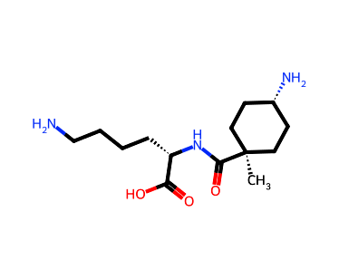 C[C@]1(C(=O)N[C@@H](CCCCN)C(=O)O)CC[C@H](N)CC1